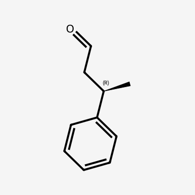 C[C@H](CC=O)c1ccccc1